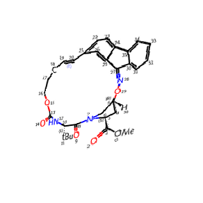 COC(=O)[C@@H]1C[C@@H]2CN1C(=O)[C@H](C(C)(C)C)NC(=O)OCCC/C=C/c1ccc3c(c1)C(=NO2)c1ccccc1-3